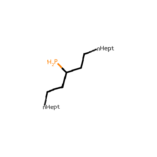 CCCCCCCCCC(P)CCCCCCCCC